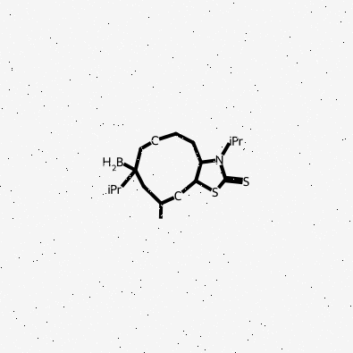 BC1(C(C)C)CCCCC2C(CC(C)C1)SC(=S)N2C(C)C